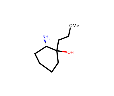 COCCC1(O)CCCC[C@@H]1N